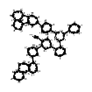 N#Cc1ccc(-c2ccccc2-c2nc(-c3ccccc3)nc(-c3ccc(-c4ccc5c(c4)-c4cccc6cccc-5c46)cc3)n2)cc1-c1cccc(-c2cccc3c2ccc2ccccc23)c1